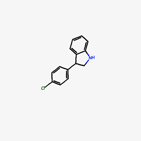 Clc1ccc(C2CNc3ccccc32)cc1